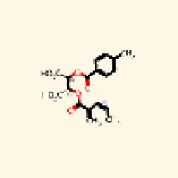 C=C(/C=C\C)C(=O)O[C@H](C(=O)O)[C@H](OC(=O)c1ccc(C)cc1)C(=O)O